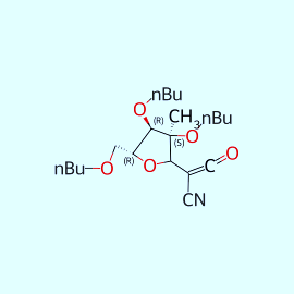 CCCCOC[C@H]1OC(C(=C=O)C#N)[C@](C)(OCCCC)[C@@H]1OCCCC